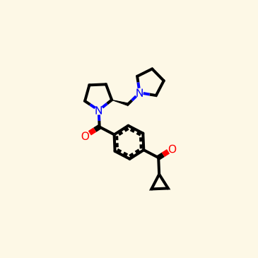 O=C(c1ccc(C(=O)N2CCC[C@H]2CN2CCCC2)cc1)C1CC1